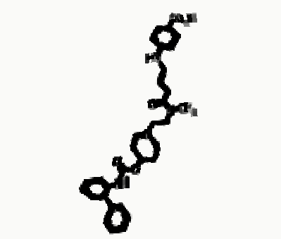 CN(CCN1CCC(OC(=O)Nc2ccccc2-c2ccccc2)CC1)C(=O)CCCNc1ccc(C(=O)O)cc1